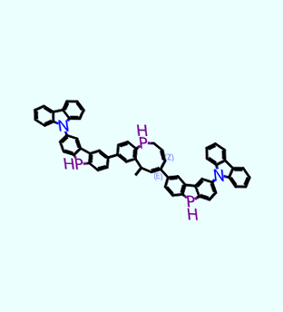 CC1/C=C(c2ccc3[pH]c4ccc(-n5c6ccccc6c6ccccc65)cc4c3c2)\C=C/CPc2ccc(-c3ccc4[pH]c5ccc(-n6c7ccccc7c7ccccc76)cc5c4c3)cc21